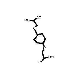 CCC(O)COC1CCC(OCC(O)CC)CC1